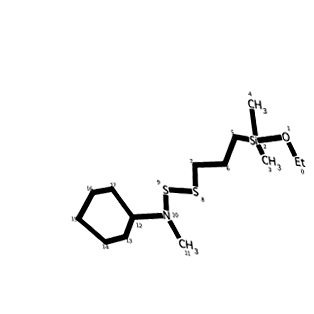 CCO[Si](C)(C)CCCSSN(C)C1CCCCC1